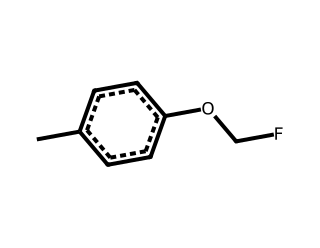 Cc1ccc(OCF)cc1